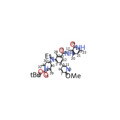 CCN(c1cc(-c2ccc(OC)nc2)cc(C(=O)NCc2c(C)cc(C)[nH]c2=O)c1C)C1CC(C)N(C(=O)OC(C)(C)C)C(C)C1